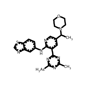 Cc1nc([AsH2])nc(-c2cc(C(C)N3CCOCC3)cnc2Nc2ccc3scnc3c2)n1